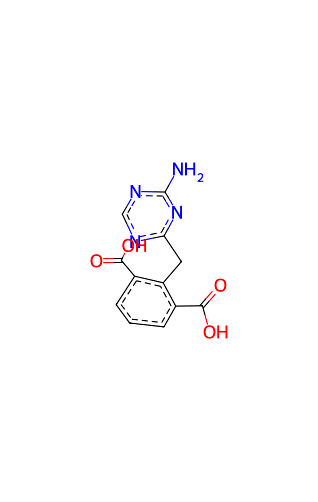 Nc1ncnc(Cc2c(C(=O)O)cccc2C(=O)O)n1